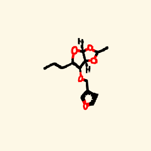 CCC[C@H]1O[C@@H]2OC(C)O[C@@H]2[C@H]1OCc1ccoc1